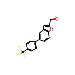 O=Cc1cc2cc(-c3ccc(C(F)(F)F)cc3)ccc2o1